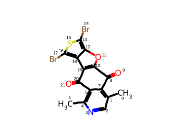 Cc1cnc(C)c2c1C(=O)c1oc3c(Br)sc(Br)c3c1C2=O